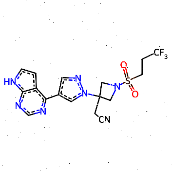 N#CCC1(n2cc(-c3ncnc4[nH]ccc34)cn2)CN(S(=O)(=O)CCC(F)(F)F)C1